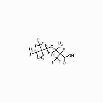 CC(C)(F)C(F)(C(F)(F)F)C(F)(F)OC(C)(C)C(F)(C(=O)O)C(F)(F)F